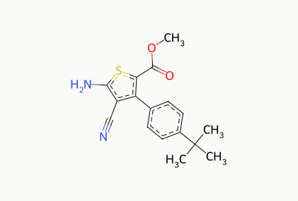 COC(=O)c1sc(N)c(C#N)c1-c1ccc(C(C)(C)C)cc1